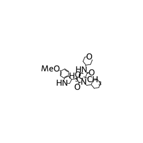 COc1ccc2c(c1)NCC2C(=O)C(=O)N(CC1CCCCC1)C(C)(C)C(=O)NC1CCOCC1